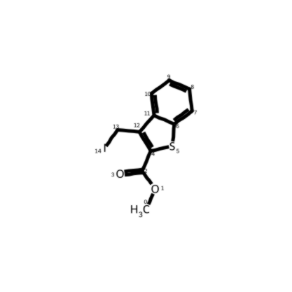 COC(=O)c1sc2ccccc2c1CI